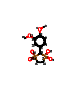 COc1ccc(C2S(=O)(=O)CCS2(=O)=O)cc1OC